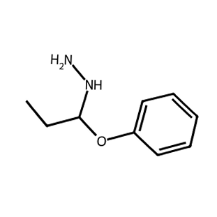 CCC(NN)Oc1ccccc1